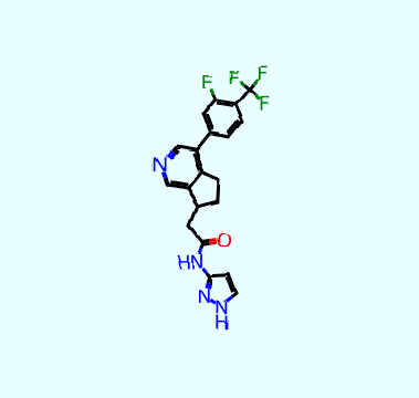 O=C(CC1CCc2c(-c3ccc(C(F)(F)F)c(F)c3)cncc21)Nc1cc[nH]n1